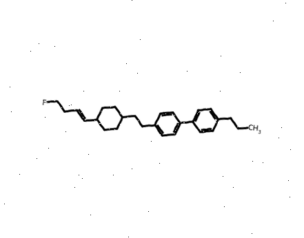 CCCc1ccc(-c2ccc(CCC3CCC(C=CCCF)CC3)cc2)cc1